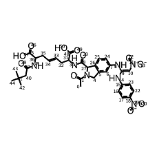 CC(=O)N1Cc2cc(N/C(=C\[N+](=O)[O-])Nc3ccc([N+](=O)[O-])cc3)ccc2C1C(=O)NC(C/C=C/CC(NC(=O)CC(C)(C)C)C(=O)O)C(=O)O